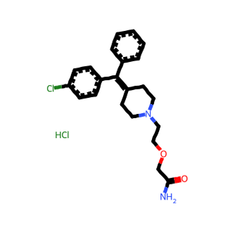 Cl.NC(=O)COCCN1CCC(=C(c2ccccc2)c2ccc(Cl)cc2)CC1